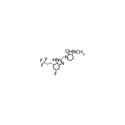 CNc1cccn(Cc2nc3cc(F)cc(CCC(F)(F)F)c3[nH]2)c1=O